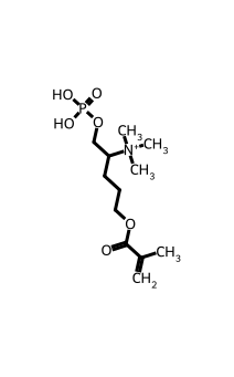 C=C(C)C(=O)OCCCC(COP(=O)(O)O)[N+](C)(C)C